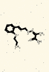 CCCOc1ccccc1/C=C/CON=C(C)C(=O)O